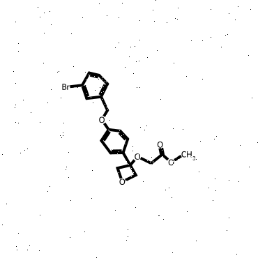 COC(=O)COC1(c2ccc(OCc3cccc(Br)c3)cc2)COC1